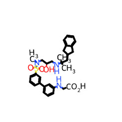 CN(C[C@H](O)CNC(C)(C)CC1Cc2ccccc2C1)S(=O)(=O)c1cccc(-c2cccc(NCC(=O)O)c2)c1